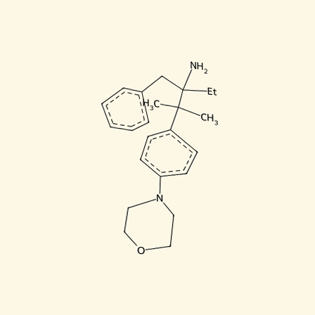 CCC(N)(Cc1ccccc1)C(C)(C)c1ccc(N2CCOCC2)cc1